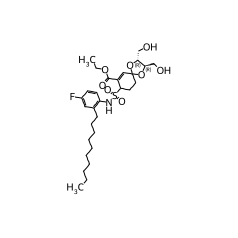 CCCCCCCCCCc1cc(F)ccc1NS(=O)(=O)C1CCC2(C=C1C(=O)OCC)O[C@H](CO)[C@@H](CO)O2